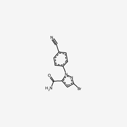 N#Cc1ccc(-n2nc(Br)cc2C(N)=O)cc1